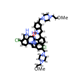 COCCN1CCN(Cc2ccc3[nH]c(-c4ccc(Cl)c5c4C(C(=O)C4NCc6c(Cl)ccc(-c7cc8cc(CN9CCN(CCOC)CC9)ccc8[nH]7)c64)NC5)cc3c2)CC1